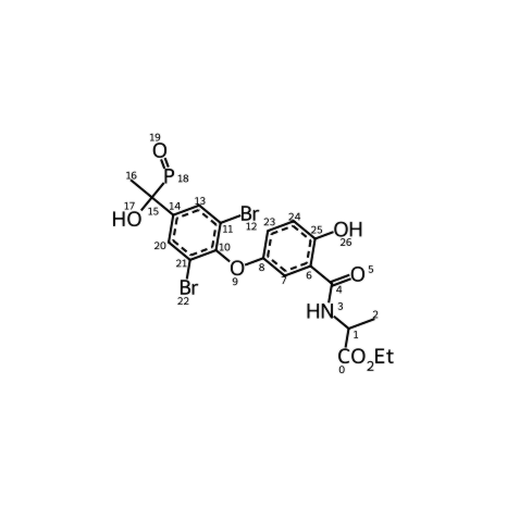 CCOC(=O)C(C)NC(=O)c1cc(Oc2c(Br)cc(C(C)(O)P=O)cc2Br)ccc1O